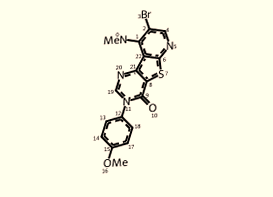 CNc1c(Br)cnc2sc3c(=O)n(-c4ccc(OC)cc4)cnc3c12